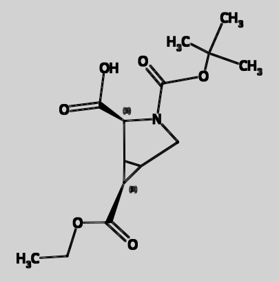 CCOC(=O)[C@@H]1C2CN(C(=O)OC(C)(C)C)[C@H](C(=O)O)C21